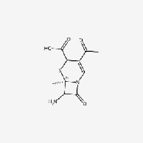 CC(=O)C1=CN2C(=O)C(N)[C@H]2SC1C(=O)O